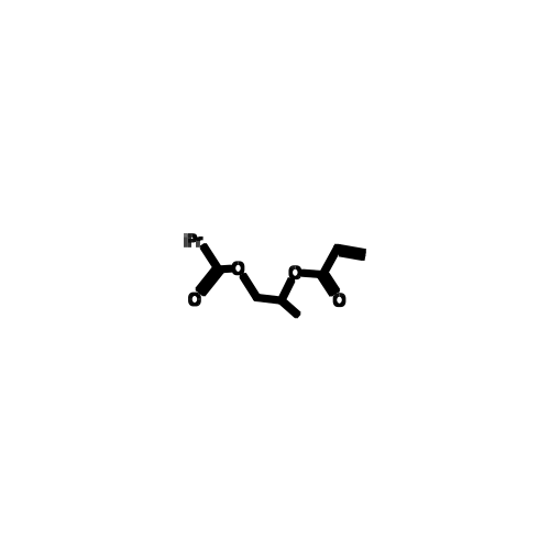 C=CC(=O)OC(C)COC(=O)C(C)C